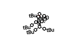 Cc1cc2c3c(c1)N(c1c(-c4ccccc4)ccc4c1OCO4)c1ccc(C(C)(C)C)cc1B3c1ccc(-c3ccc(C(C)(C)C)cc3)cc1N2c1cc(-c2ccc(C(C)(C)C)cc2)cc(-c2ccc(C(C)(C)C)cc2)c1